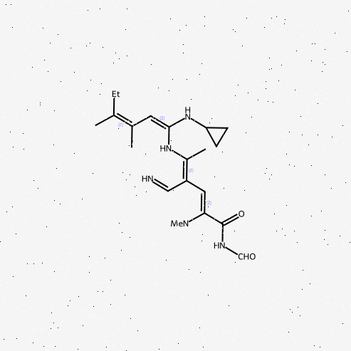 CC/C(C)=C(C)\C=C(/N/C(C)=C(C=N)/C=C(\NC)C(=O)NC=O)NC1CC1